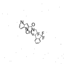 Cn1c(C(=O)N2CCC(c3ccccc3C(F)(F)F)CC2)cc2ncccc21